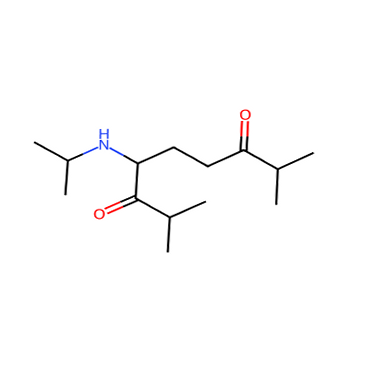 CC(C)NC(CCC(=O)C(C)C)C(=O)C(C)C